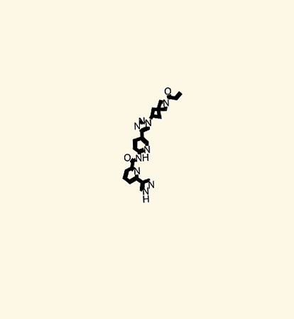 C=CC(=O)N1CC2(CC(n3cc(-c4ccc(NC(=O)c5cccc(-c6cn[nH]c6)n5)nc4)nn3)C2)C1